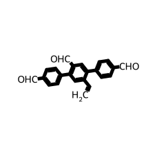 C=Cc1cc(-c2ccc(C=O)cc2)c(C=O)cc1-c1ccc(C=O)cc1